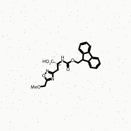 COCc1nc(C[C@@H](NC(=O)OCC2c3ccccc3-c3ccccc32)C(=O)O)no1